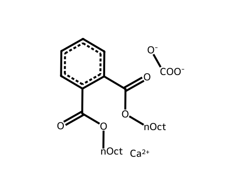 CCCCCCCCOC(=O)c1ccccc1C(=O)OCCCCCCCC.O=C([O-])[O-].[Ca+2]